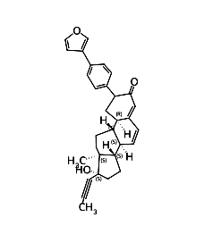 CC#C[C@]1(O)CC[C@H]2[C@@H]3C=CC4=CC(=O)C(c5ccc(-c6ccoc6)cc5)C[C@@H]4[C@H]3CC[C@@]21C